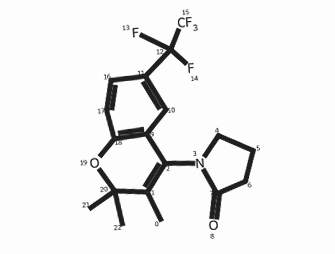 CC1=C(N2CCCC2=O)c2cc(C(F)(F)C(F)(F)F)ccc2OC1(C)C